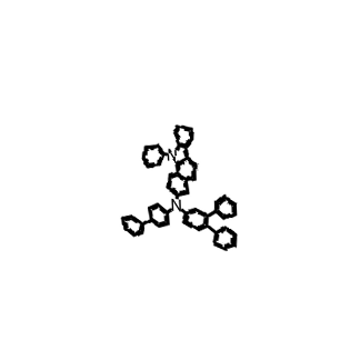 c1ccc(-c2ccc(N(c3ccc(-c4ccccc4)c(-c4ccccc4)c3)c3ccc4c(ccc5c6ccccc6n(-c6ccccc6)c45)c3)cc2)cc1